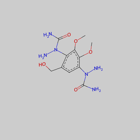 COc1c(N(N)C(N)=O)cc(CO)c(N(N)C(N)=O)c1OC